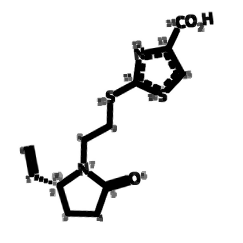 C=C[C@H]1CCC(=O)N1CCSc1nc(C(=O)O)cs1